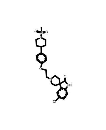 CS(=O)(=O)N1CCC(c2ccc(OCCN3CCC4(CC3)C(=O)Nc3ccc(Cl)cc34)cc2)CC1